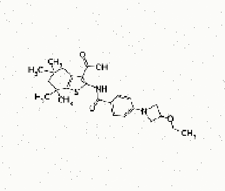 CCOC1CN(c2ccc(C(=O)Nc3sc4c(c3C(=O)O)CC(C)(C)CC4(C)C)cc2)C1